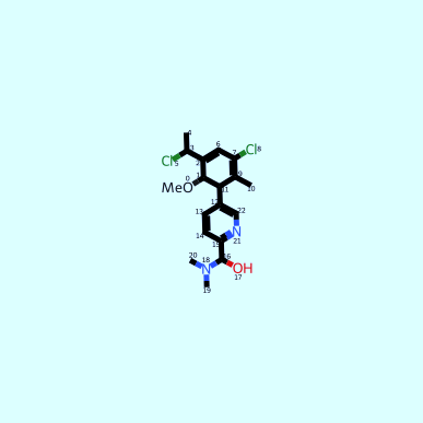 COC1C(C(C)Cl)=CC(Cl)=C(C)C1c1ccc(C(O)N(C)C)nc1